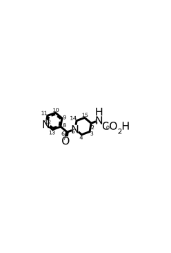 O=C(O)NC1CCN(C(=O)c2cccnc2)CC1